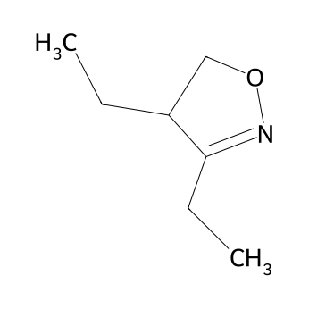 CCC1=NOCC1CC